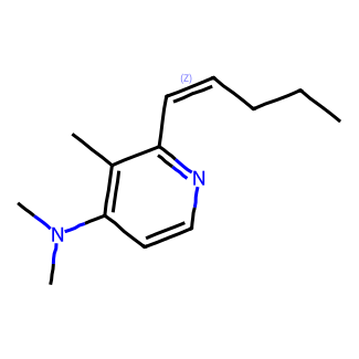 CCC/C=C\c1nccc(N(C)C)c1C